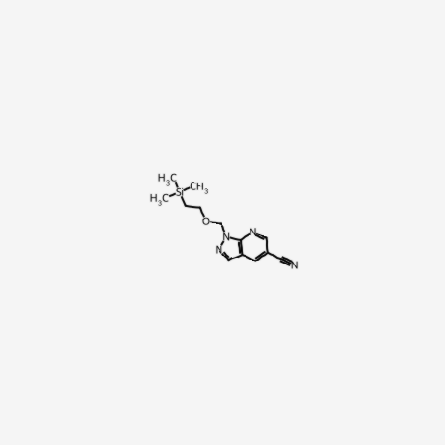 C[Si](C)(C)CCOCn1ncc2cc(C#N)cnc21